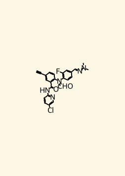 C#Cc1ccc(N(C=O)c2ccc(C=NN(C)C)cc2F)c(C(=O)Nc2ccc(Cl)cn2)c1